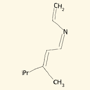 C=C/N=C\C=C(/C)C(C)C